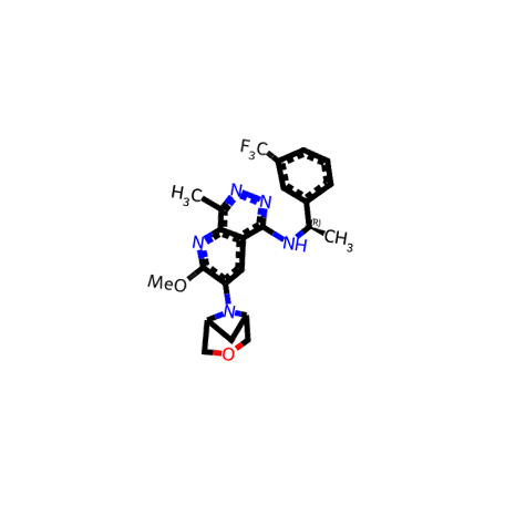 COc1nc2c(C)nnc(N[C@H](C)c3cccc(C(F)(F)F)c3)c2cc1N1C2COCC1C2